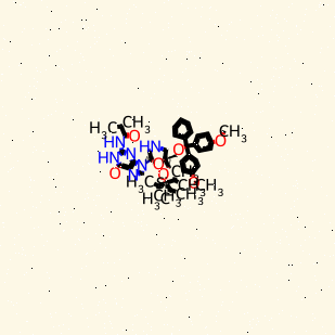 COc1ccc(C(OC[C@]2(CO[Si](C(C)C)(C(C)C)C(C)C)CNC[C@H](n3cnc4c(=O)[nH]c(NC(=O)C(C)C)nc43)O2)(c2ccccc2)c2ccc(OC)cc2)cc1